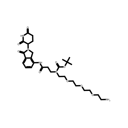 CC(C)(C)OC(=O)N(CCOCCOCCOCCN)CCC(=O)Nc1cccc2c1CN(C1CCC(=O)NC1=O)C2=O